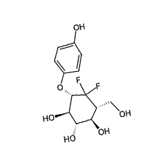 OC[C@@H]1[C@@H](O)[C@H](O)[C@@H](O)[C@H](Oc2ccc(O)cc2)C1(F)F